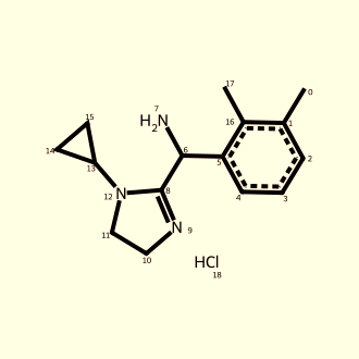 Cc1cccc(C(N)C2=NCCN2C2CC2)c1C.Cl